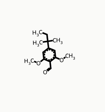 CCC(C)(C)c1cc(OC)c(C=O)c(OC)c1